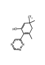 CC1=C(c2cncnn2)C(O)=CC(C)(C(F)(F)F)C1